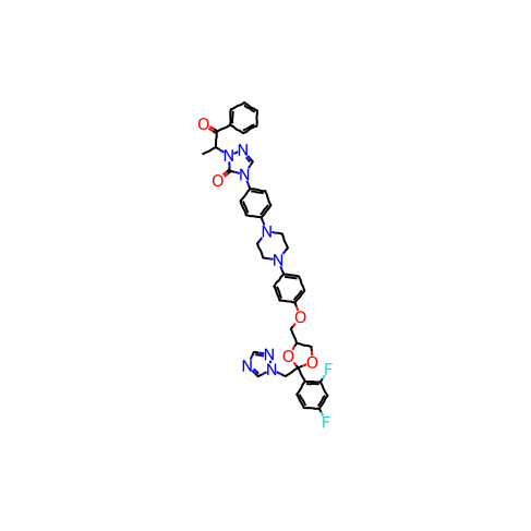 CC(C(=O)c1ccccc1)n1ncn(-c2ccc(N3CCN(c4ccc(OCC5COC(Cn6cncn6)(c6ccc(F)cc6F)O5)cc4)CC3)cc2)c1=O